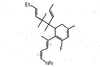 CC=CC(C)(C1CC(C)=CC(F)=C1/C(C)=C/C=C\CCC)C(C)(C)C=CCC